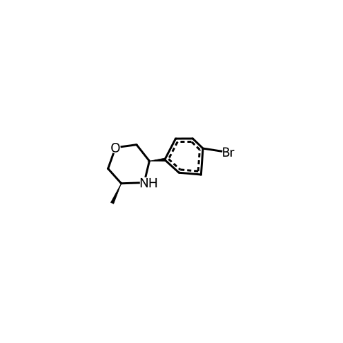 C[C@H]1COC[C@@H](c2ccc(Br)cc2)N1